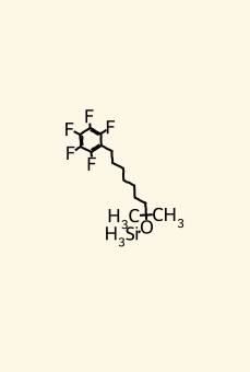 CC(C)(CCCCCCCc1c(F)c(F)c(F)c(F)c1F)O[SiH3]